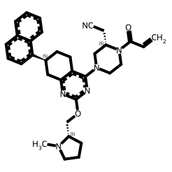 C=CC(=O)N1CCN(c2nc(OC[C@@H]3CCCN3C)nc3c2CC[C@H](c2cccc4ccccc24)C3)C[C@@H]1CC#N